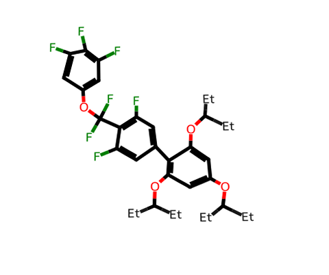 CCC(CC)Oc1cc(OC(CC)CC)c(-c2cc(F)c(C(F)(F)Oc3cc(F)c(F)c(F)c3)c(F)c2)c(OC(CC)CC)c1